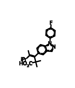 CC(=C(c1ccc2c(cnn2-c2ccc(F)cc2)c1)C(C)(C)C(=O)O)C(C)C